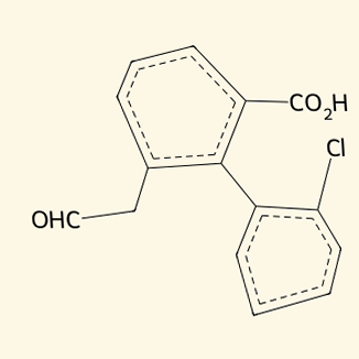 O=CCc1cccc(C(=O)O)c1-c1ccccc1Cl